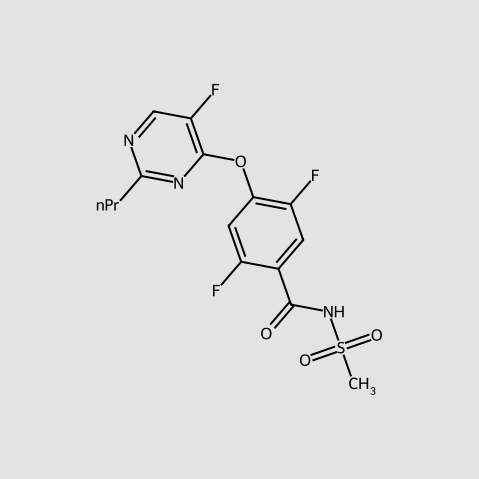 CCCc1ncc(F)c(Oc2cc(F)c(C(=O)NS(C)(=O)=O)cc2F)n1